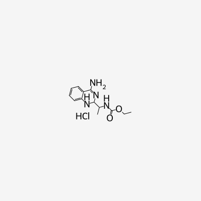 CCOC(=O)NC(C)C1N=C(N)c2ccccc2N1.Cl